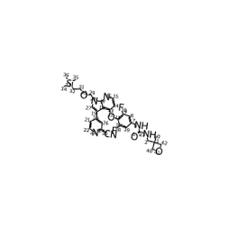 CC1(CNC(=O)Nc2cc(F)c(Oc3ccnc4c3c(-c3ccnc(C#N)c3)cn4COCC[Si](C)(C)C)c(F)c2)COC1